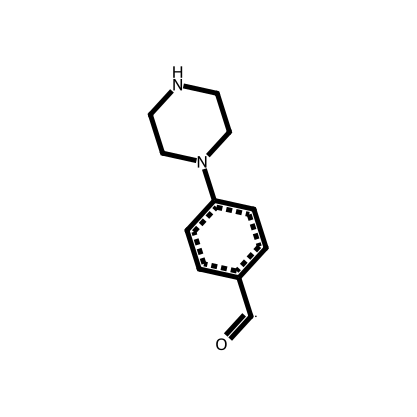 O=[C]c1ccc(N2CCNCC2)cc1